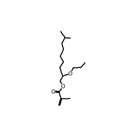 C=C(C)C(=O)OCC(CCCCCC(C)C)OCCC